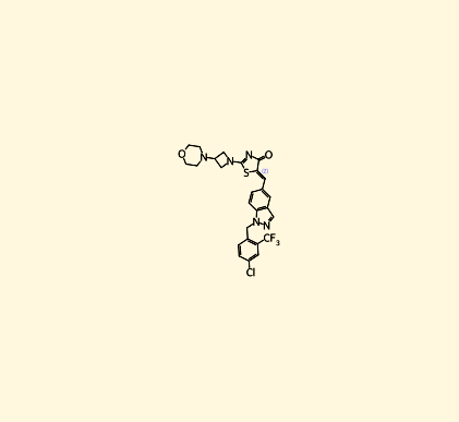 O=C1N=C(N2CC(N3CCOCC3)C2)S/C1=C\c1ccc2c(cnn2Cc2ccc(Cl)cc2C(F)(F)F)c1